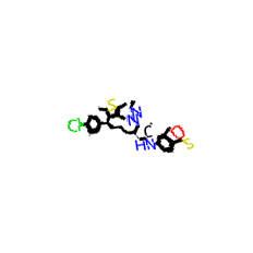 C=C=C(C[C@@H](/C=N/N=C/C)CC/C=C(/c1ccc(Cl)cc1)c1c(C)sc(C)c1C)Nc1ccc2c(c1)COC2=S